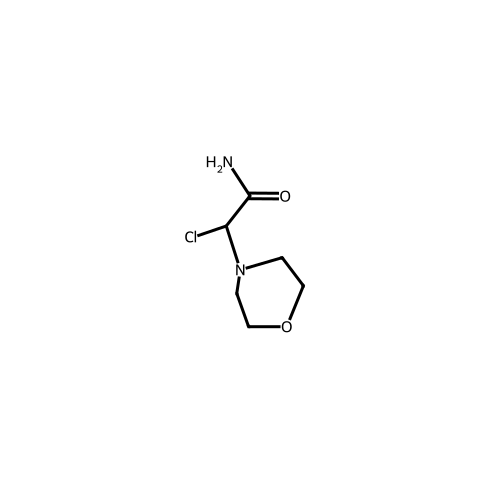 NC(=O)C(Cl)N1CCOCC1